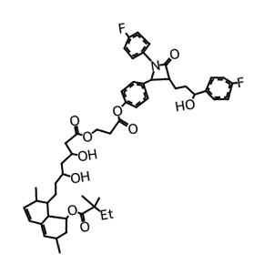 CCC(C)(C)C(=O)OC1CC(C)C=C2C=CC(C)C(CCC(O)CC(O)CC(=O)OCCC(=O)Oc3ccc(C4C(CCC(O)c5ccc(F)cc5)C(=O)N4c4ccc(F)cc4)cc3)C21